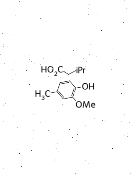 CC(C)CC(=O)O.COc1cc(C)ccc1O